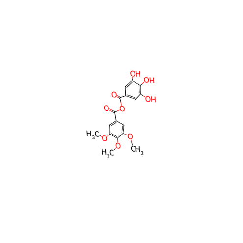 COc1cc(C(=O)OC(=O)c2cc(O)c(O)c(O)c2)cc(OC)c1OC